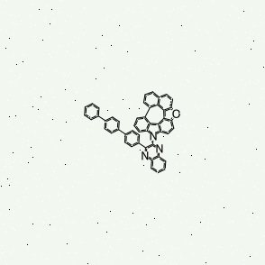 c1ccc(-c2ccc(-c3ccc(-c4nc5ccccc5nc4-n4c5cccc6c5c5c7c(ccc54)oc4ccc5cccc-6c5c47)cc3)cc2)cc1